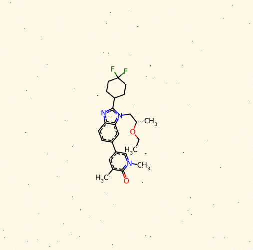 CCO[C@@H](C)Cn1c(C2CCC(F)(F)CC2)nc2ccc(-c3cc(C)c(=O)n(C)c3)cc21